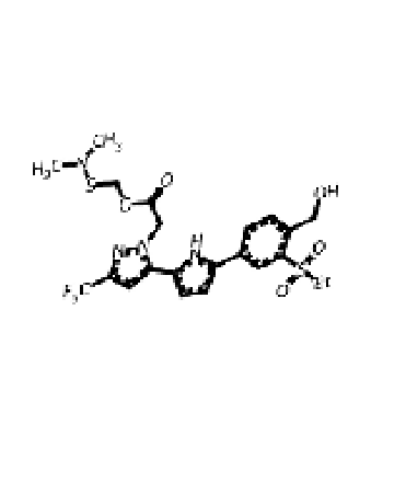 CCS(=O)(=O)c1cc(-c2ccc(-c3cc(C(F)(F)F)nn3CC(=O)OCSN(C)C)[nH]2)ccc1CO